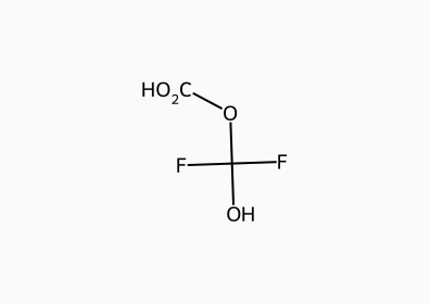 O=C(O)OC(O)(F)F